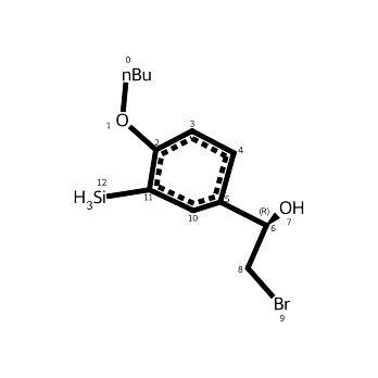 CCCCOc1ccc([C@@H](O)CBr)cc1[SiH3]